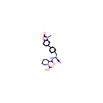 Cn1c(=O)oc2ccc(-c3ccc(C[C@@H](C#N)NC(=O)C4CCCCN4C(=O)O)cc3)cc21